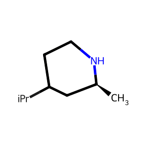 CC(C)C1CCN[C@@H](C)C1